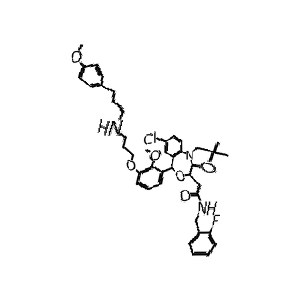 COc1ccc(CCCNCCCOc2cccc(C3OC(CC(=O)NCc4ccccc4F)C(=O)N(CC(C)(C)C)c4ccc(Cl)cc43)c2OC)cc1